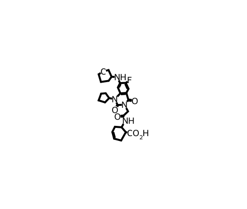 O=C(Cn1c(=O)c2cc(F)c(NC3CCCCC3)cc2n(C2CCCC2)c1=O)NC1CC=CCC1C(=O)O